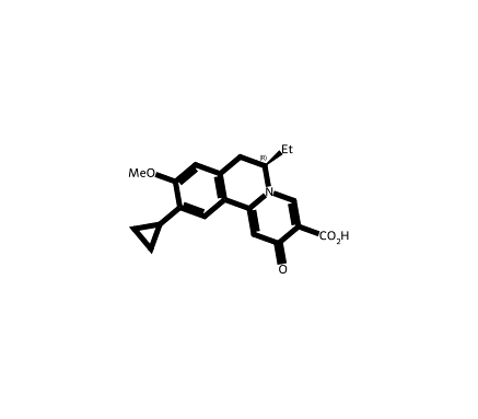 CC[C@@H]1Cc2cc(OC)c(C3CC3)cc2-c2cc(=O)c(C(=O)O)cn21